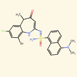 CC(C)c1cc(F)cc2c1NC(N=S(N)(=O)c1cccc3c(N(C)C)cccc13)=CC(=O)C2C